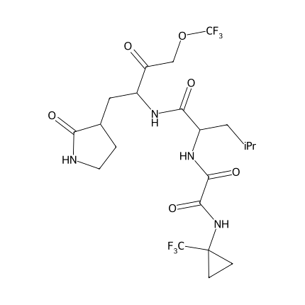 CC(C)CC(NC(=O)C(=O)NC1(C(F)(F)F)CC1)C(=O)NC(CC1CCNC1=O)C(=O)COC(F)(F)F